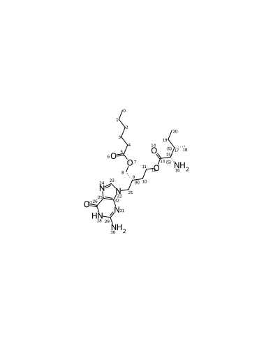 CCCCCC(=O)OC[C@H](CCOC(=O)[C@@H](N)[C@@H](C)CC)Cn1cnc2c(=O)[nH]c(N)nc21